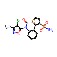 Cc1noc(N(C=O)c2ccccc2-c2sccc2S(N)(=O)=O)c1Br